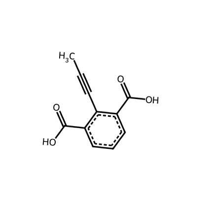 CC#Cc1c(C(=O)O)cccc1C(=O)O